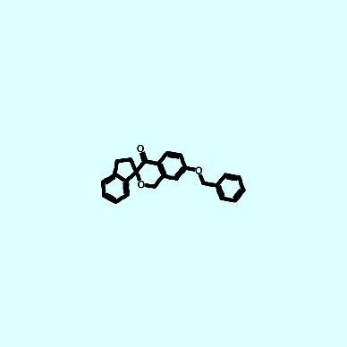 O=C1c2ccc(OCc3ccccc3)cc2COC12CCc1ccccc12